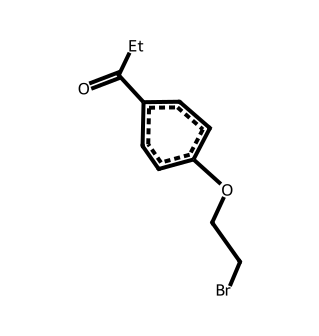 CCC(=O)c1ccc(OCCBr)cc1